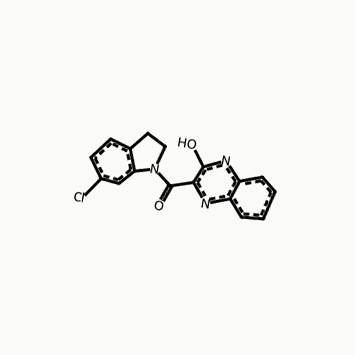 O=C(c1nc2ccccc2nc1O)N1CCc2ccc(Cl)cc21